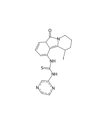 O=C1C2C=CC=C(NC(=S)Nc3cnccn3)C2=C2C(I)CCCN12